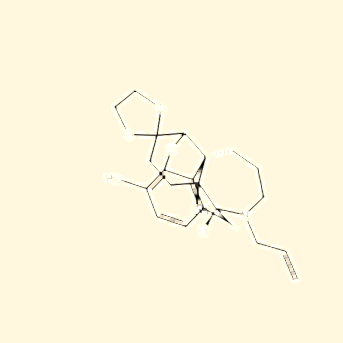 C=CCN1CCC[C@]23c4c5ccc(O)c4OC2C2(CCC3(O)[C@H]1C5)OCCO2